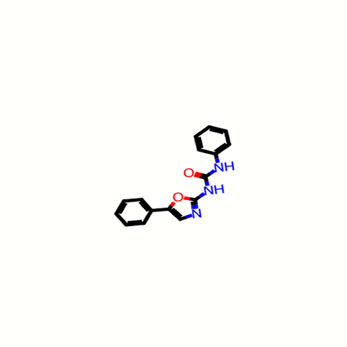 O=C(Nc1ccccc1)Nc1ncc(-c2ccccc2)o1